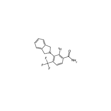 [2H]c1c(C(N)=O)ccc(C(F)(F)F)c1N1Cc2ccccc2C1